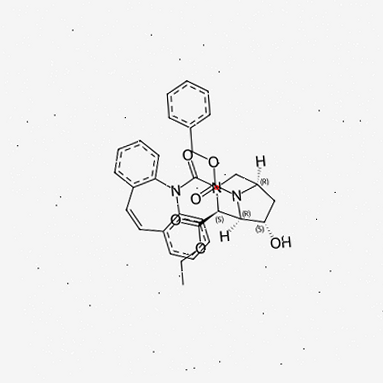 CCOC(=O)[C@@H]1[C@@H]2[C@@H](O)C[C@H](CN1C(=O)N1c3ccccc3C=Cc3ccccc31)N2C(=O)OCc1ccccc1